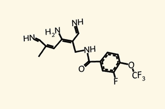 C/C(C=N)=C/C(N)=C(/C=N)CNC(=O)c1ccc(OC(F)(F)F)c(F)c1